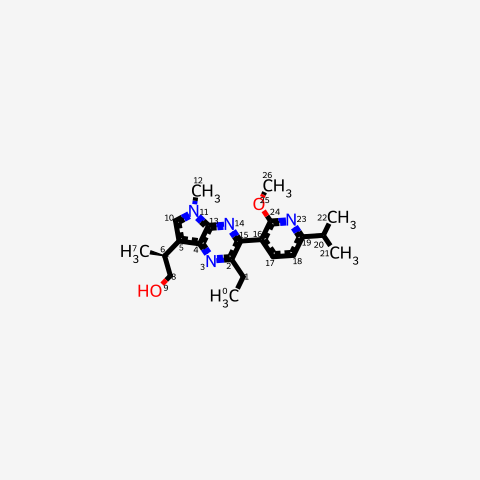 CCc1nc2c([C@H](C)CO)cn(C)c2nc1-c1ccc(C(C)C)nc1OC